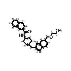 COCCOCc1ccc2ccc(CN3CCC(NC(=O)c4ccc5ccccc5c4)CC3)cc2c1